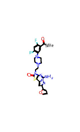 CNC(=O)c1cc(N2CCN(CCn3c(=O)sc4c3nc(N)n3nc(-c5ccco5)cc43)CC2)c(F)cc1F